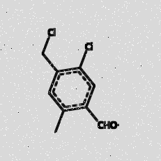 Cc1cc(CCl)c(Cl)cc1[C]=O